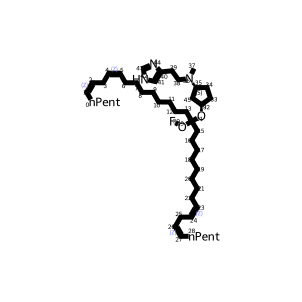 CCCCC/C=C\C/C=C\CCCCCCCCC(CCCCCCCC/C=C\C/C=C\CCCCC)(OF)O[C@@H]1CC[C@H](N(C)CCc2c[nH]cn2)C1